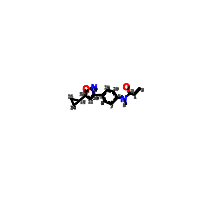 C=CC(=O)N(C)c1ccc(-c2cc(C3CC3)on2)cc1